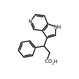 O=C(O)CC(c1ccccc1)c1c[nH]c2ccncc12